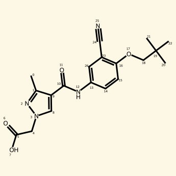 Cc1nn(CC(=O)O)cc1C(=O)Nc1ccc(OCC(C)(C)C)c(C#N)c1